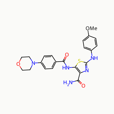 COc1ccc(Nc2nc(C(N)=O)c(NC(=O)c3ccc(N4CCOCC4)cc3)s2)cc1